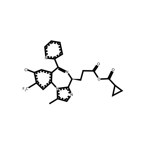 Cc1cnc2n1-c1cc(C(F)(F)F)c(Cl)cc1C(c1ccccn1)=N[C@H]2CCC(=O)OC(=O)C1CC1